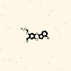 CCOc1cc(OC2CCc3c(Br)cccc32)c(Cl)cc1C=O